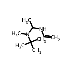 C=CNC(C)N(C)C(C)(C)C